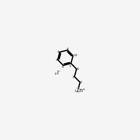 [I-].[Zn+][CH2]CCc1ccccc1